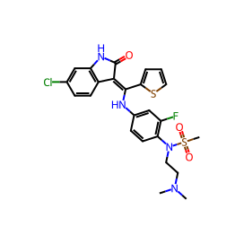 CN(C)CCN(c1ccc(NC(=C2C(=O)Nc3cc(Cl)ccc32)c2cccs2)cc1F)S(C)(=O)=O